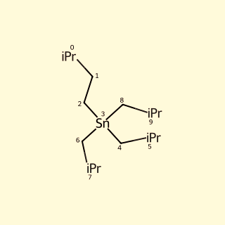 CC(C)C[CH2][Sn]([CH2]C(C)C)([CH2]C(C)C)[CH2]C(C)C